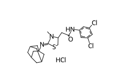 CN1C(=NC23CC4CC(CC(C4)C2)C3)SCC1CC(=O)Nc1cc(Cl)cc(Cl)c1.Cl